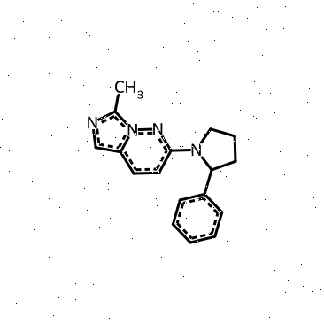 Cc1ncc2ccc(N3CCCC3c3ccccc3)nn12